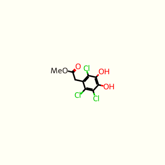 COC(=O)Cc1c(Cl)c(O)c(O)c(Cl)c1Cl